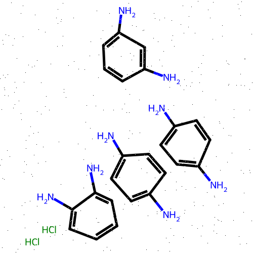 Cl.Cl.Nc1ccc(N)cc1.Nc1ccc(N)cc1.Nc1cccc(N)c1.Nc1ccccc1N